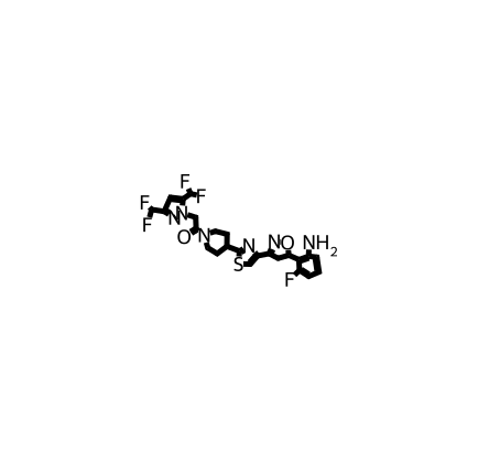 Nc1cccc(F)c1C1CC(c2csc(C3CCN(C(=O)Cn4nc(C(F)F)cc4C(F)F)CC3)n2)=NO1